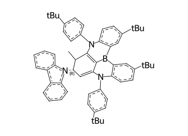 CC1C2=C3B(c4cc(C(C)(C)C)ccc4N(c4ccc(C(C)(C)C)cc4)C3=C[C@@H]1n1c3ccccc3c3ccccc31)c1cc(C(C)(C)C)ccc1N2c1ccc(C(C)(C)C)cc1